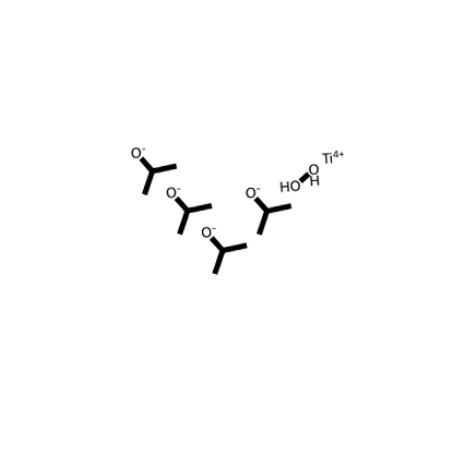 CC(C)[O-].CC(C)[O-].CC(C)[O-].CC(C)[O-].OO.[Ti+4]